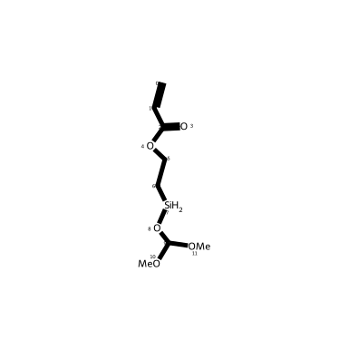 C=CC(=O)OCC[SiH2]OC(OC)OC